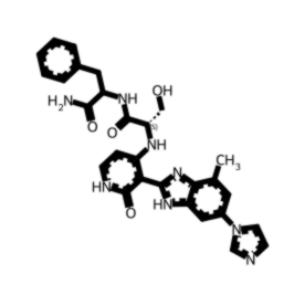 Cc1cc(-n2ccnc2)cc2[nH]c(-c3c(N[C@@H](CO)C(=O)NC(Cc4ccccc4)C(N)=O)cc[nH]c3=O)nc12